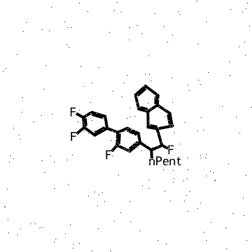 CCCCCC(c1ccc(-c2ccc(F)c(F)c2)c(F)c1)C(F)c1ccc2ccccc2c1